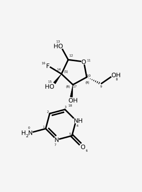 Nc1cc[nH]c(=O)n1.OC[C@H]1OC(O)[C@@](O)(F)[C@@H]1O